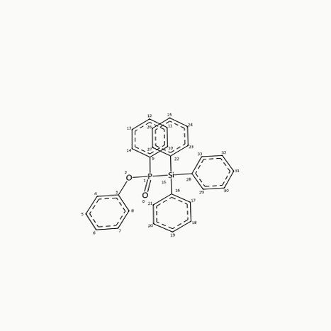 O=P(Oc1ccccc1)(c1ccccc1)[Si](c1ccccc1)(c1ccccc1)c1ccccc1